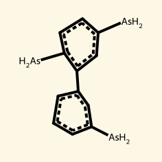 [AsH2]c1cccc(-c2cc([AsH2])ccc2[AsH2])c1